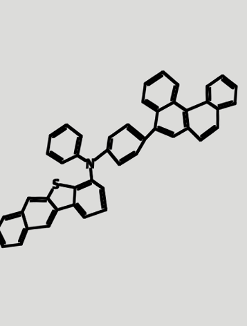 c1ccc(N(c2ccc(-c3cc4ccc5ccccc5c4c4ccccc34)cc2)c2cccc3c2sc2cc4ccccc4cc23)cc1